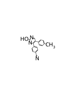 Cc1ccc(-c2cnc(O)nc2-c2ccc(C#N)cc2)cc1